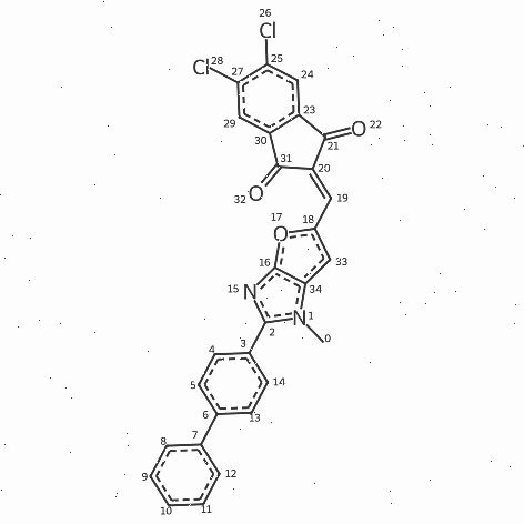 Cn1c(-c2ccc(-c3ccccc3)cc2)nc2oc(C=C3C(=O)c4cc(Cl)c(Cl)cc4C3=O)cc21